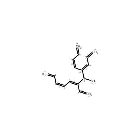 BN(/C(C=C)=C/C=C\C=C)C(/C=C\C=C)=C/C=C